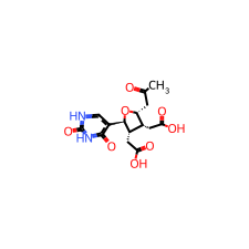 CC(=O)C[C@H]1O[C@H](c2c[nH]c(=O)[nH]c2=O)[C@@H](CC(=O)O)[C@H]1CC(=O)O